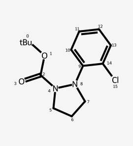 CC(C)(C)OC(=O)N1CCCN1c1ccccc1Cl